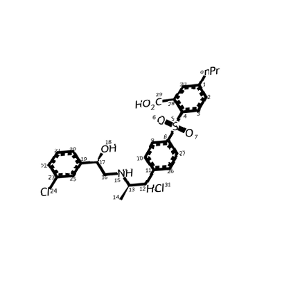 CCCc1ccc(S(=O)(=O)c2ccc(C[C@@H](C)NC[C@H](O)c3cccc(Cl)c3)cc2)c(C(=O)O)c1.Cl